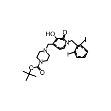 CC(C)(C)OC(=O)N1CCN(Cc2ccn(Cc3c(I)cccc3I)c(=O)c2O)CC1